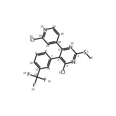 CSc1nc(Cl)c(-c2cccc(C(F)(F)F)c2)c(-c2ccnc(Cl)c2)n1